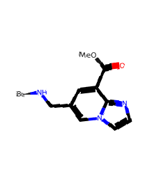 CC[C@H](C)NCc1cc(C(=O)OC)c2nccn2c1